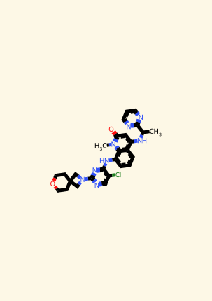 CC(Nc1cc(=O)n(C)c2c(Nc3nc(N4CC5(CCOCC5)C4)ncc3Cl)cccc12)c1ncccn1